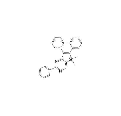 C[Si]1(C)c2cnc(-c3ccccc3)nc2-c2c1c1ccccc1c1ccccc21